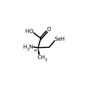 C[C@](N)(C[SeH])C(=O)O